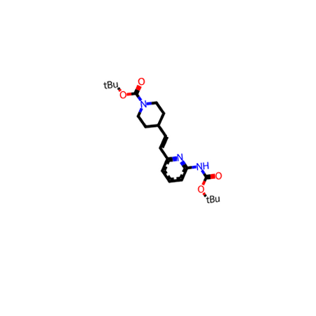 CC(C)(C)OC(=O)Nc1cccc(C=CC2CCN(C(=O)OC(C)(C)C)CC2)n1